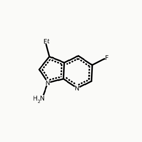 CCc1cn(N)c2ncc(F)cc12